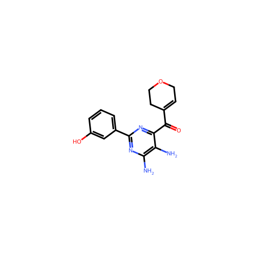 Nc1nc(-c2cccc(O)c2)nc(C(=O)C2=CCOCC2)c1N